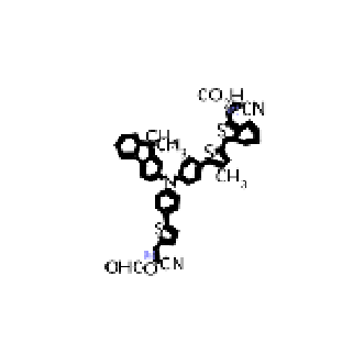 Cc1cc(-c2sc(/C=C(\C#N)C(=O)O)c3ccccc23)sc1-c1ccc(N(c2ccc(-c3ccc(/C=C(\C#N)OC=O)s3)cc2)c2ccc3c(c2)C(C)(C)c2ccccc2-3)cc1